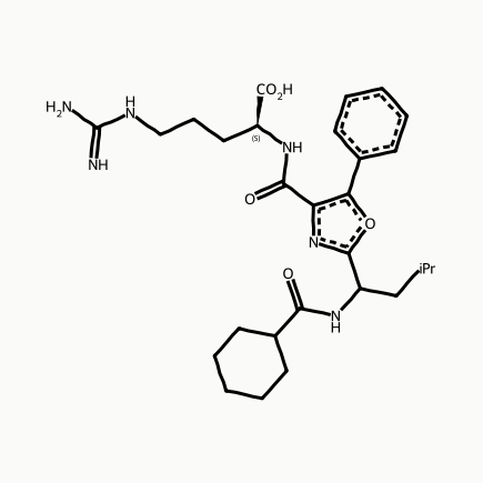 CC(C)CC(NC(=O)C1CCCCC1)c1nc(C(=O)N[C@@H](CCCNC(=N)N)C(=O)O)c(-c2ccccc2)o1